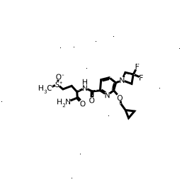 C[S+]([O-])CCC(NC(=O)c1ccc(N2CC(F)(F)C2)c(OCC2CC2)n1)C(N)=O